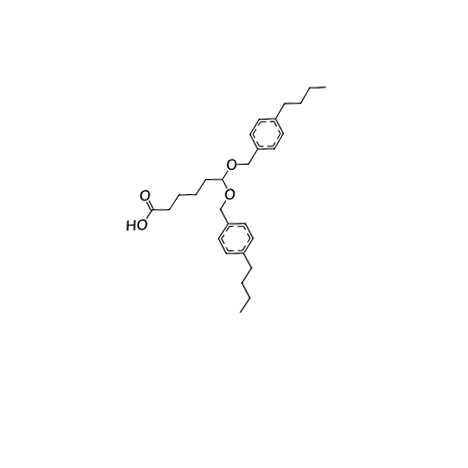 CCCCc1ccc(COC(CCCCC(=O)O)OCc2ccc(CCCC)cc2)cc1